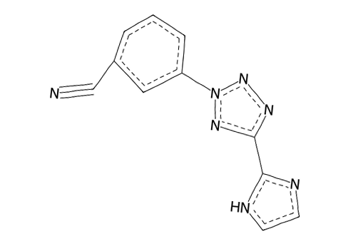 N#Cc1cccc(-n2nnc(-c3ncc[nH]3)n2)c1